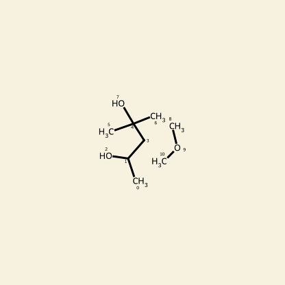 CC(O)CC(C)(C)O.COC